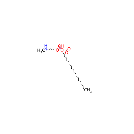 CCCCCCCCCCCCCCCCCCC(COP(O)OCCCCNC)OC=O